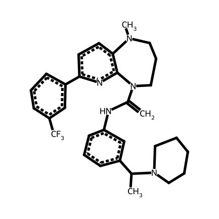 C=C(Nc1cccc(C(C)N2CCCCC2)c1)N1CCCN(C)c2ccc(-c3cccc(C(F)(F)F)c3)nc21